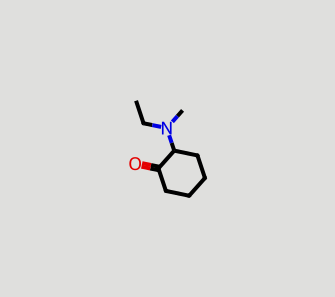 CCN(C)C1CCCCC1=O